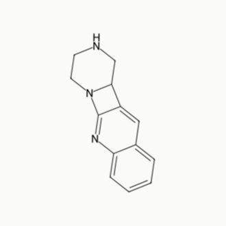 c1ccc2nc3c(cc2c1)C1CNCCN31